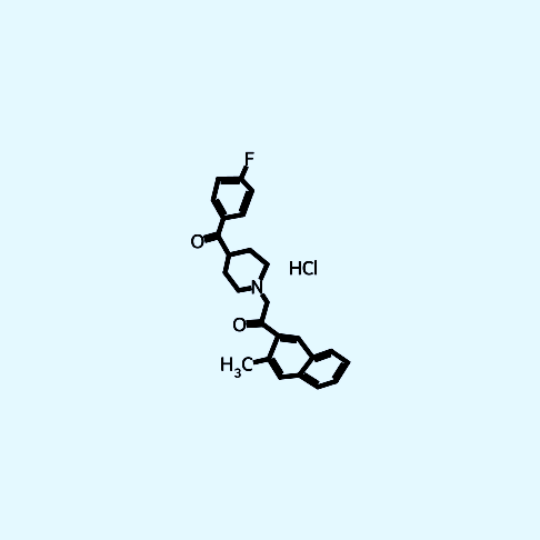 Cc1cc2ccccc2cc1C(=O)CN1CCC(C(=O)c2ccc(F)cc2)CC1.Cl